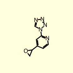 c1cc(C2CO2)cc(-n2cnnn2)n1